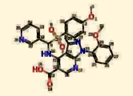 COc1ccc(S(=O)(=O)C(Nc2c(C(=O)O)cnc3c2c(C)nn3-c2ccccc2OC)c2cccnc2)cc1